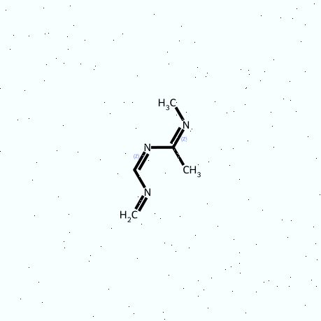 C=N/C=N\C(C)=N/C